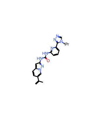 C=C(C)c1ccc2cc(NC(=O)Nc3cccc(-c4nncn4C(C)C)n3)nn2c1